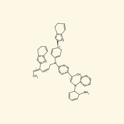 C/C=C(\C=C/CN(C1=CC[C@H](c2cc3c(s2)C=CCC3)C=C1)c1ccc(/C(C)=C/N(c2ccccc2)C2C=CC=CC2N)cc1)c1cc2c(s1)C=CCC2